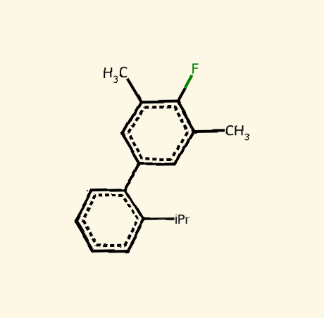 Cc1cc(-c2[c]cccc2C(C)C)cc(C)c1F